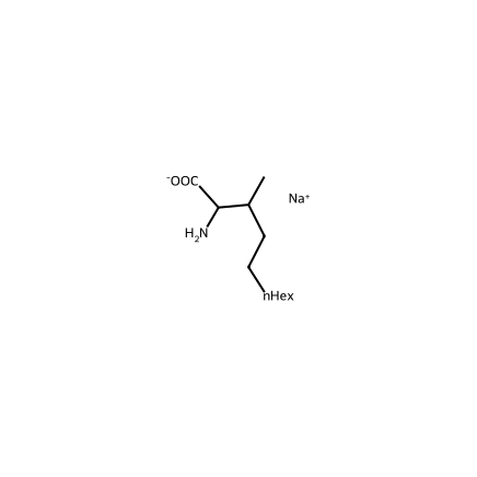 CCCCCCCCC(C)C(N)C(=O)[O-].[Na+]